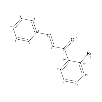 O=C(/C=C/c1ccccc1)c1ccccc1Br